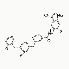 O=C(NCc1cc2c(Cl)c[nH]c2cc1F)c1ccnc(Cc2ccc(Cn3ccccc3=O)c(F)c2)c1